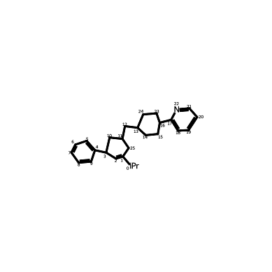 CC(C)C1=CC(c2ccccc2)CC(CC2CCC(c3ccccn3)CC2)C1